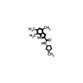 Cc1cc(C)c2cc(C(=O)N[C@@H]3CCN(C)C3)[nH]c2c1C